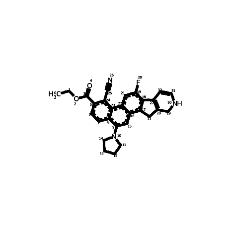 CCOC(=O)c1ccc2c(N3CCCC3)cc3c4c(c(F)cc3c2c1C#N)C1=C(CNC=C1)C4